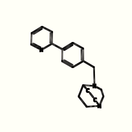 c1ccc(-c2ccc(CN3CCN4CCC3CC4)cc2)nc1